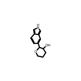 OC1CCCOC1c1ccc2c[nH]cc2c1